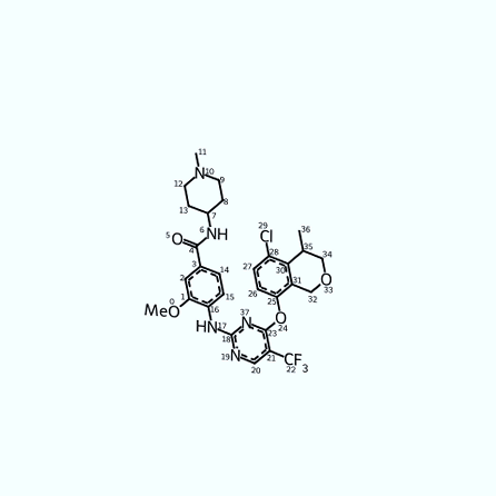 COc1cc(C(=O)NC2CCN(C)CC2)ccc1Nc1ncc(C(F)(F)F)c(Oc2ccc(Cl)c3c2COCC3C)n1